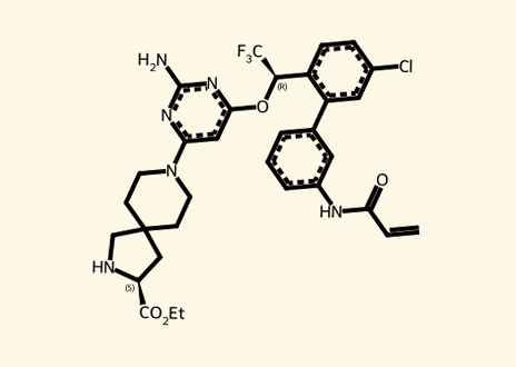 C=CC(=O)Nc1cccc(-c2cc(Cl)ccc2[C@@H](Oc2cc(N3CCC4(CC3)CN[C@H](C(=O)OCC)C4)nc(N)n2)C(F)(F)F)c1